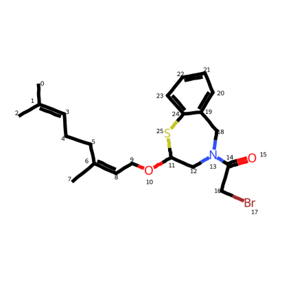 CC(C)=CCCC(C)=CCOC1CN(C(=O)CBr)Cc2ccccc2S1